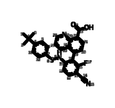 CC(C)(C)c1ccc(SNc2ccc(C#N)c(F)c2-c2ccc(C(=O)O)c3ncccc23)cc1